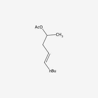 CCCCC=CCC(C)OC(C)=O